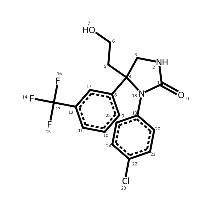 O=C1NCC(CCO)(c2cccc(C(F)(F)F)c2)N1c1ccc(Cl)cc1